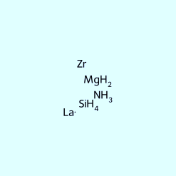 N.[La].[MgH2].[SiH4].[Zr]